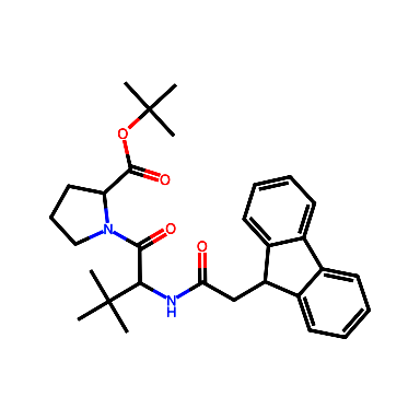 CC(C)(C)OC(=O)C1CCCN1C(=O)C(NC(=O)CC1c2ccccc2-c2ccccc21)C(C)(C)C